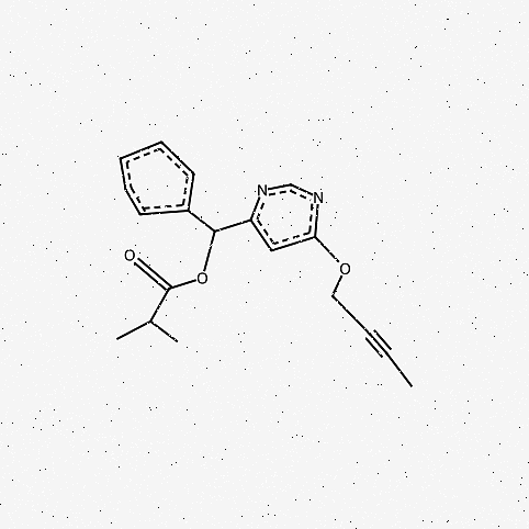 CC#CCOc1cc(C(OC(=O)C(C)C)c2ccccc2)ncn1